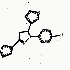 Clc1ccc(N2N=C(c3ccsc3)CC2c2ccsc2)cc1